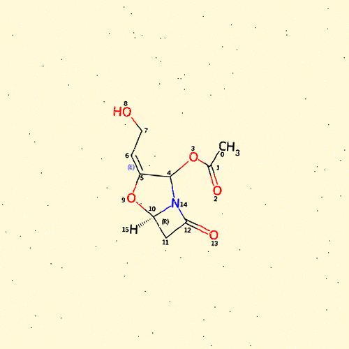 CC(=O)OC1/C(=C\CO)O[C@@H]2CC(=O)N12